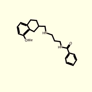 COc1cccc2c1CC(CNCCCNC(=O)c1ccccc1)CC2